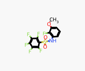 COc1cccc(NS(=O)(=O)c2c(F)c(F)c(F)c(F)c2F)c1F